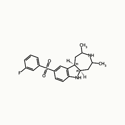 CC1C[C@@H]2c3cc(S(=O)(=O)c4cccc(F)c4)ccc3N[C@@H]2CC(C)N1